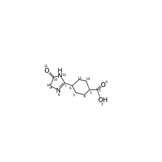 O=C(O)C1CCC(c2nsc(=O)[nH]2)CC1